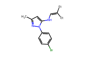 CCC(=CNc1cc(C)nn1-c1ccc(Br)cc1)CC